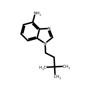 CC(C)(C)CCn1cnc2c(N)cccc21